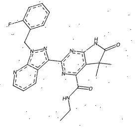 CCNC(=O)c1nc(-c2nn(Cc3ccccc3F)c3ncccc23)nc2c1C(C)(C)C(=O)N2